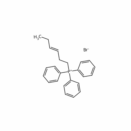 CCC=CCC[P+](c1ccccc1)(c1ccccc1)c1ccccc1.[Br-]